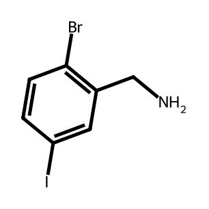 NCc1cc(I)ccc1Br